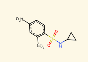 O=[N+]([O-])c1ccc(S(=O)(=O)NC2CC2)c([N+](=O)[O-])c1